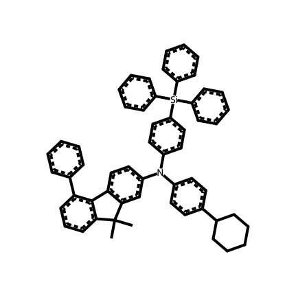 CC1(C)c2cc(N(c3ccc(C4CCCCC4)cc3)c3ccc([Si](c4ccccc4)(c4ccccc4)c4ccccc4)cc3)ccc2-c2c(-c3ccccc3)cccc21